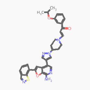 CC(C)Oc1cccc(C(=O)/C=C/N2CCC(n3cc(-c4cnc(N)c5oc(-c6cccc7cnsc67)cc45)cn3)CC2)c1